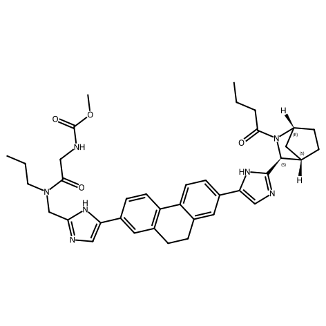 CCCC(=O)N1[C@@H]2CC[C@@H](C2)[C@H]1c1ncc(-c2ccc3c(c2)CCc2cc(-c4cnc(CN(CCC)C(=O)CNC(=O)OC)[nH]4)ccc2-3)[nH]1